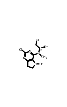 CC(C)[C@H](CO)N(C)c1nc(Cl)nc2c1[S+]([O-])CC2